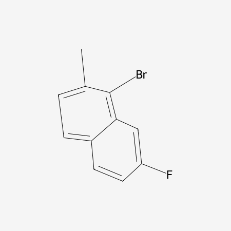 Cc1ccc2ccc(F)cc2c1Br